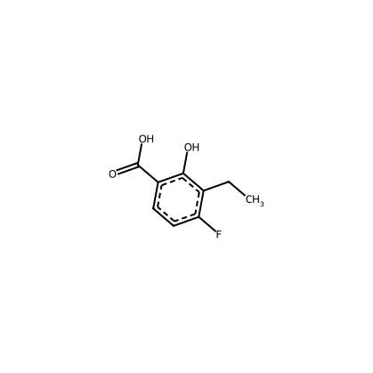 CCc1c(F)ccc(C(=O)O)c1O